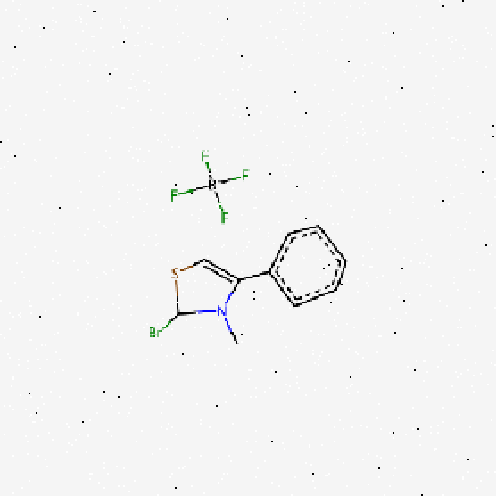 CN1C(c2ccccc2)=CSC1Br.F[B-](F)(F)F